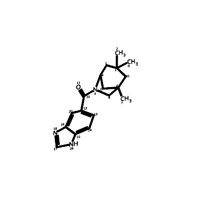 CC1(C)CC2CC(C)(CN2C(=O)c2ccc3[nH]cnc3c2)C1